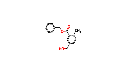 Cc1ccc(CO)cc1C(=O)OCc1ccccc1